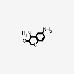 Nc1ccc2c(c1)C(N)C(=O)CO2